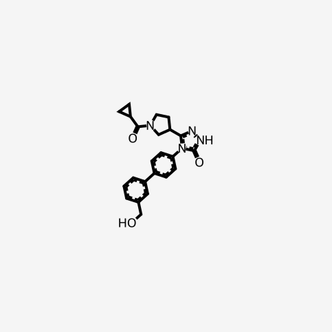 O=C(C1CC1)N1CCC(c2n[nH]c(=O)n2-c2ccc(-c3cccc(CO)c3)cc2)C1